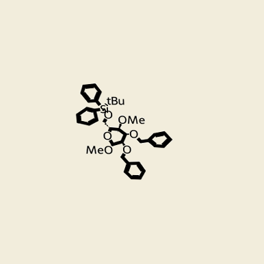 CO[C@H]1O[C@H](CO[Si](c2ccccc2)(c2ccccc2)C(C)(C)C)[C@@H](OC)[C@H](OCc2ccccc2)[C@H]1OCc1ccccc1